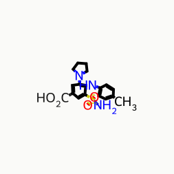 Cc1ccc(Nc2c(N3CCCC3)cc(C(=O)O)cc2S(N)(=O)=O)cc1